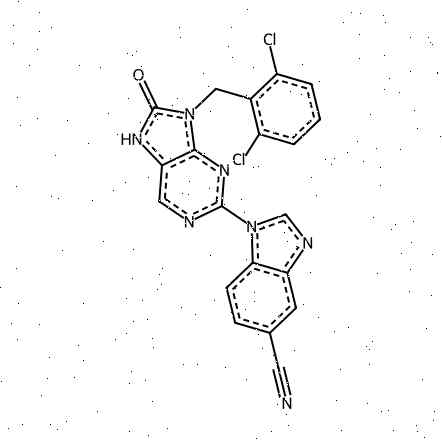 N#Cc1ccc2c(c1)ncn2-c1ncc2[nH]c(=O)n(Cc3c(Cl)cccc3Cl)c2n1